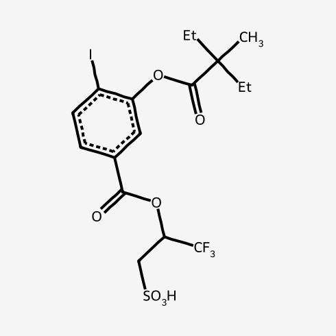 CCC(C)(CC)C(=O)Oc1cc(C(=O)OC(CS(=O)(=O)O)C(F)(F)F)ccc1I